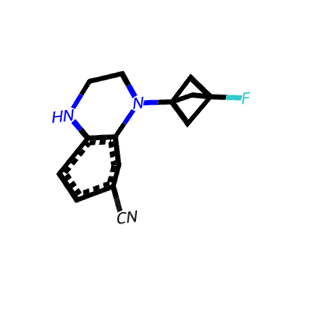 N#Cc1ccc2c(c1)N(C13CC(F)(C1)C3)CCN2